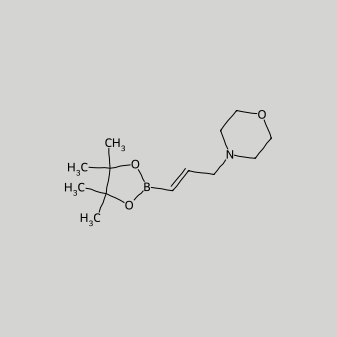 CC1(C)OB(C=CCN2CCOCC2)OC1(C)C